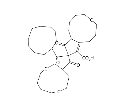 C=C(C(=O)O)C(C(=O)C1CCCCCCCCC1)(C(=O)C1CCCCCCCCC1)C(=O)C1CCCCCCCCC1